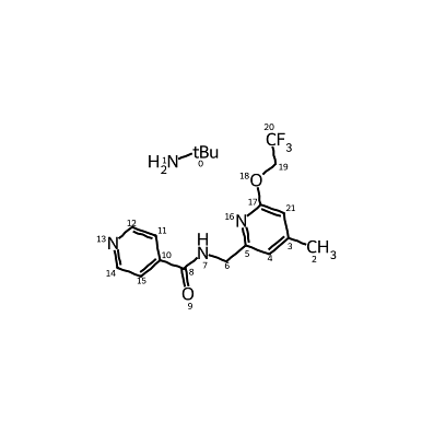 CC(C)(C)N.Cc1cc(CNC(=O)c2ccncc2)nc(OCC(F)(F)F)c1